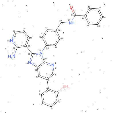 Bc1ccccc1-c1cnc2c(c1)nc(-c1cccnc1N)n2-c1ccc(CNC(=O)c2ccccc2)cc1